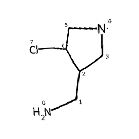 NCC1C[N]CC1Cl